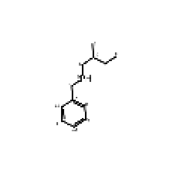 CCC(C)CPCc1ccccc1